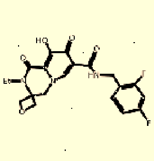 CCN1C(=O)c2c(O)c(=O)c(C(=O)NCc3ccc(F)cc3F)cn2CC12COC2